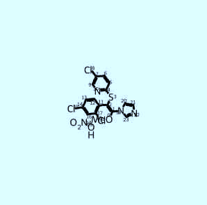 COC(=C(Sc1ccc(Cl)cn1)c1ccc(Cl)cc1Cl)n1ccnc1.O=[N+]([O-])O